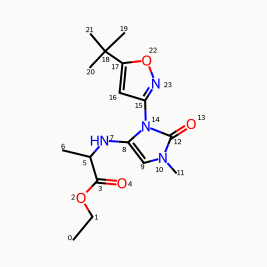 CCOC(=O)C(C)Nc1cn(C)c(=O)n1-c1cc(C(C)(C)C)on1